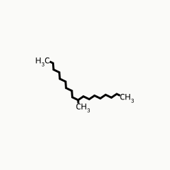 CCCCCCCCCC(C)CCCCCCCC